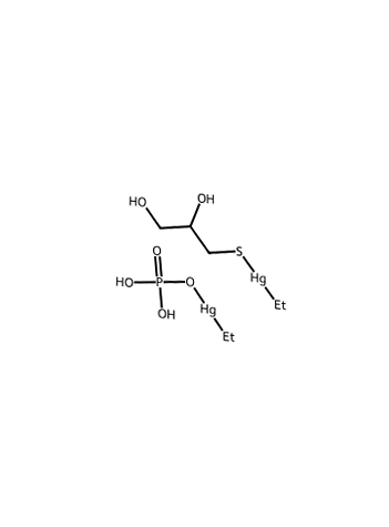 C[CH2][Hg][O]P(=O)(O)O.C[CH2][Hg][S]CC(O)CO